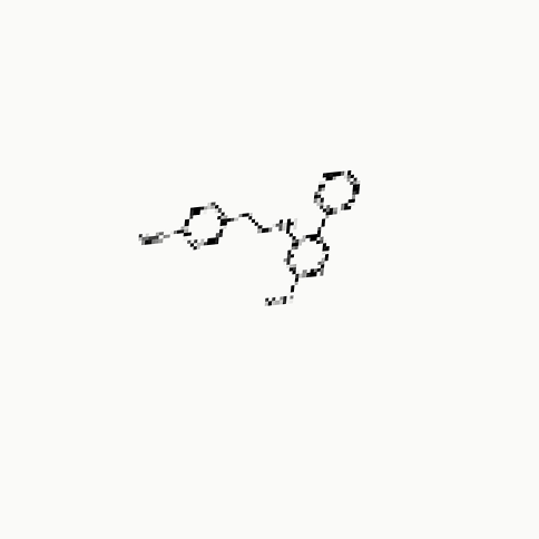 COc1ccc(CCNc2nc(OC)ncc2-c2cccnc2)cc1